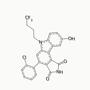 O=C1NC(=O)c2c1c(-c1ccccc1Cl)cc1c2c2cc(O)ccc2n1CCCC(F)(F)F